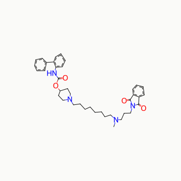 CN(CCCCCCCCN1CCC(OC(=O)Nc2ccccc2-c2ccccc2)CC1)CCCN1C(=O)c2ccccc2C1=O